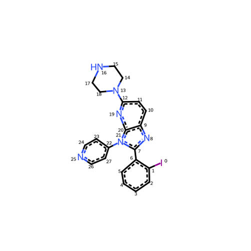 Ic1ccccc1-c1nc2ccc(N3CCNCC3)nc2n1-c1ccncc1